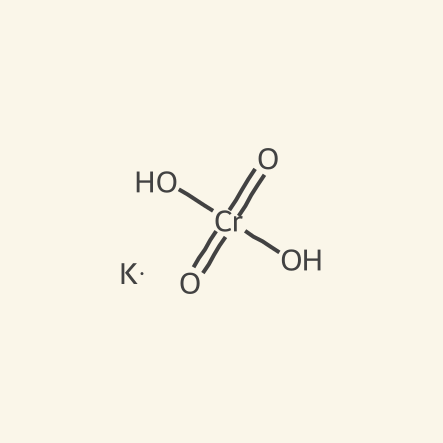 [K].[O]=[Cr](=[O])([OH])[OH]